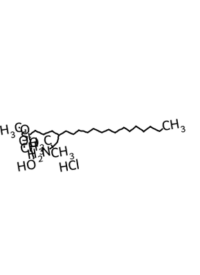 CCCCCCCCCCCCCCCC(CCC[Si](OC)(OC)OCCO)CC(C)(C)N.Cl